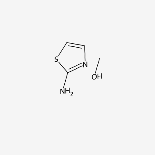 CO.Nc1nccs1